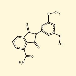 COc1cc(OC)cc(N2C(=O)c3cccc(C(N)=O)c3C2=O)c1